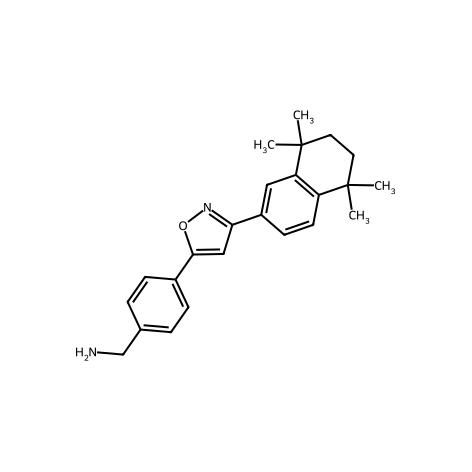 CC1(C)CCC(C)(C)c2cc(-c3cc(-c4ccc(CN)cc4)on3)ccc21